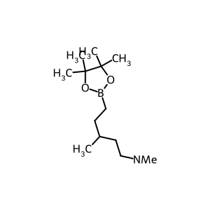 CNCCC(C)CCB1OC(C)(C)C(C)(C)O1